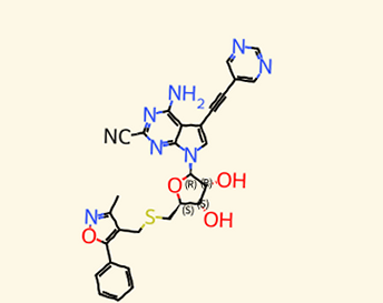 Cc1noc(-c2ccccc2)c1CSC[C@H]1O[C@@H](n2cc(C#Cc3cncnc3)c3c(N)nc(C#N)nc32)[C@H](O)[C@@H]1O